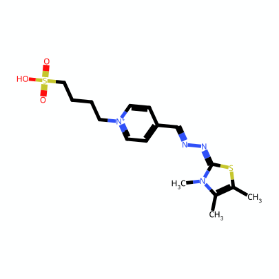 Cc1sc(=NN=Cc2cc[n+](CCCCS(=O)(=O)O)cc2)n(C)c1C